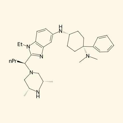 CCC[C@@H](c1nc2cc(N[C@H]3CC[C@@](c4ccccc4)(N(C)C)CC3)ccc2n1CC)N1C[C@@H](C)N[C@@H](C)C1